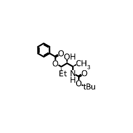 CC[C@H](OC(=O)c1ccccc1)[C@@H](O)[C@@H](C)NC(=O)OC(C)(C)C